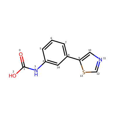 O=C(O)Nc1cccc(-c2cncs2)c1